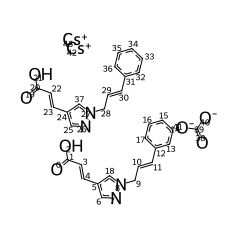 O=C(O)C=Cc1cnn(CC=Cc2ccccc2)c1.O=C(O)C=Cc1cnn(CC=Cc2ccccc2)c1.O=C([O-])[O-].[Cs+].[Cs+]